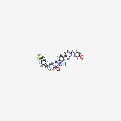 COc1ccc(CN2CCC(c3ccc4nc(C(=O)N5CCN(Cc6ccc(C(F)(F)F)cc6)CC5)[nH]c4c3)CC2)cc1